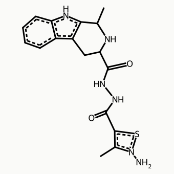 Cc1c(C(=O)NNC(=O)C2Cc3c([nH]c4ccccc34)C(C)N2)sn1N